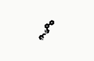 c1ccc(-c2cccc(-c3ccn(CCc4cccnc4)n3)c2)cc1